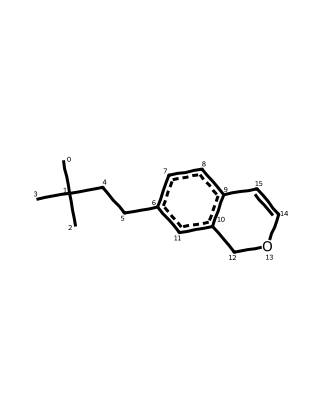 CC(C)(C)CCc1ccc2c(c1)COC=C2